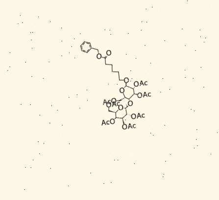 CC(=O)OC[C@H]1O[C@@H](O[C@H]2[C@H](OC(C)=O)[C@@H](OC(C)=O)[C@H](OCCCCCC(=O)OCc3ccccc3)O[C@@H]2COC(C)=O)[C@H](OC(C)=O)[C@@H](OC(C)=O)[C@H]1OC(C)=O